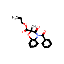 C=CCOC(=O)C1(C)Oc2ccccc2N(C(=O)c2ccccc2)C1=O